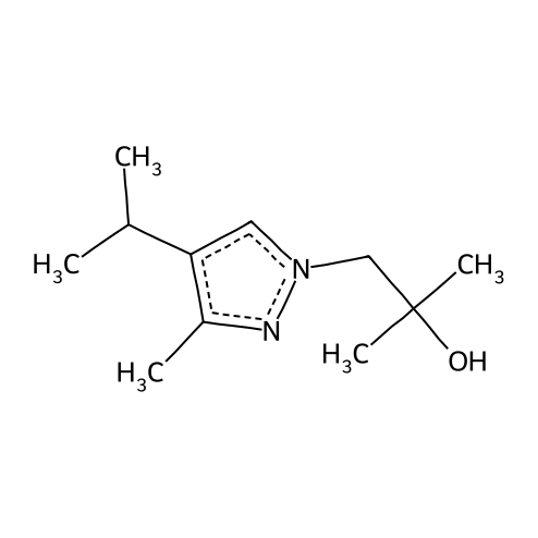 Cc1nn(CC(C)(C)O)cc1C(C)C